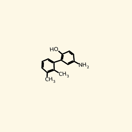 Cc1cccc(-c2cc(N)ccc2O)c1C